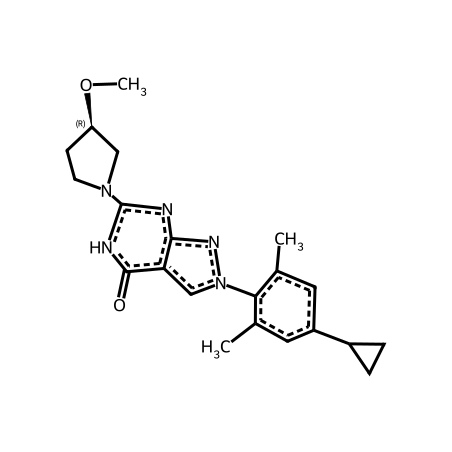 CO[C@@H]1CCN(c2nc3nn(-c4c(C)cc(C5CC5)cc4C)cc3c(=O)[nH]2)C1